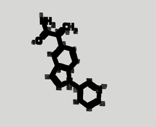 C=C(C(N)=O)c1ccc2c(ccn2-c2cccnc2)c1